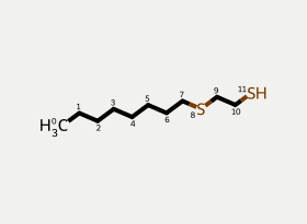 CCCCCCCCSCCS